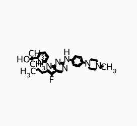 CCCc1c(F)c2cnc(Nc3ccc(N4CCN(C)CC4)cc3)nc2n1-c1cccc(C(C)(C)O)n1